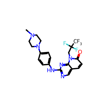 CN1CCN(c2ccc(Nc3ncc4ccc(=O)n(CC(F)(F)C(F)(F)F)c4n3)cc2)CC1